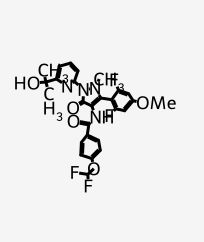 COc1cc(F)c(-c2c(NC(=O)c3ccc(OC(F)F)cc3)c(=O)n(-c3cccc(C(C)(C)O)n3)n2C)c(F)c1